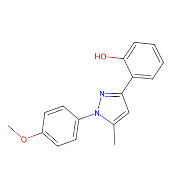 COc1ccc(-n2nc(-c3ccccc3O)cc2C)cc1